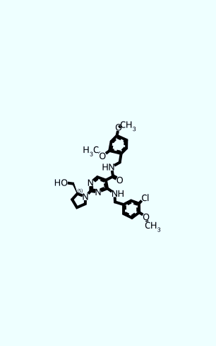 COc1ccc(CNC(=O)c2cnc(N3CCC[C@H]3CO)nc2NCc2ccc(OC)c(Cl)c2)c(OC)c1